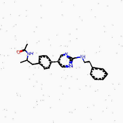 CC(=O)NC(C)Cc1ccc(-c2cnc(NCCc3ccccc3)nc2)cc1